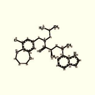 CC(C)CN(Cc1cc(Cl)c2c(c1)OCCCO2)C(=O)[C@H](C)CN(C)c1cccc2cc[nH]c12